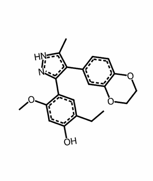 CCc1cc(-c2n[nH]c(C)c2-c2ccc3c(c2)OCCO3)c(OC)cc1O